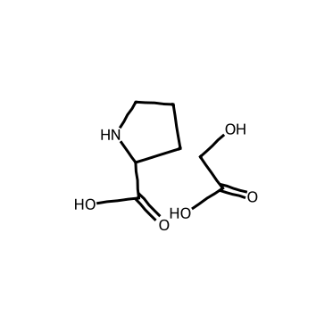 O=C(O)C1CCCN1.O=C(O)CO